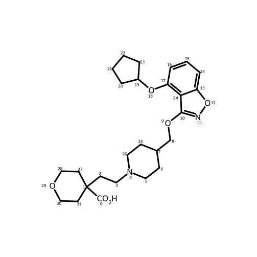 O=C(O)C1(CCN2CCC(COc3noc4cccc(OC5CCCC5)c34)CC2)CCOCC1